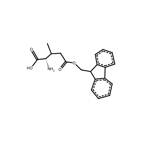 CC(CC(=O)OCC1c2ccccc2-c2ccccc21)[C@H](N)C(=O)O